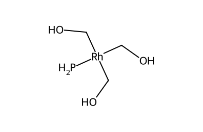 O[CH2][Rh]([PH2])([CH2]O)[CH2]O